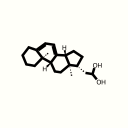 C[C@]12CC[C@H]3C(=CC=C4CCCC[C@@]43C)[C@@H]1CC[C@@H]2CC(O)O